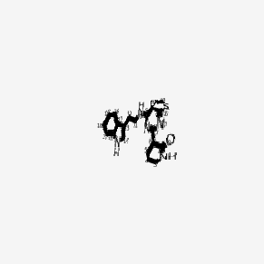 O=c1[nH]cccc1-c1nc(NCCc2c[nH]c3ccccc23)c2ncsc2n1